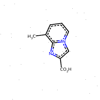 Cc1cccn2cc(C(=O)O)nc12